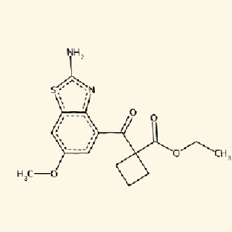 CCOC(=O)C1(C(=O)c2cc(OC)cc3sc(N)nc23)CCC1